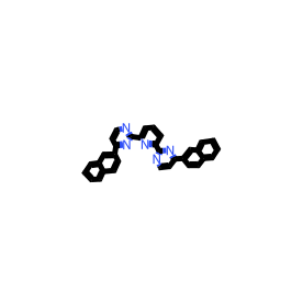 c1cc(-c2nccc(-c3ccc4ccccc4c3)n2)nc(-c2nccc(-c3ccc4ccccc4c3)n2)c1